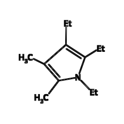 CCc1c(C)c(C)n(CC)c1CC